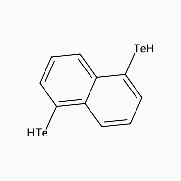 [TeH]c1cccc2c([TeH])cccc12